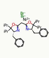 CC(C)C1(C(C)C)OC(CC2=N[C@H](Cc3ccccc3)C(C(C)C)(C(C)C)O2)=N[C@@H]1Cc1ccccc1.[Br-].[Br-].[Ni+2]